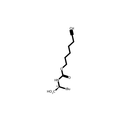 C#CCCCCCOC(=O)N[C@H](C(=O)O)C(C)(C)C